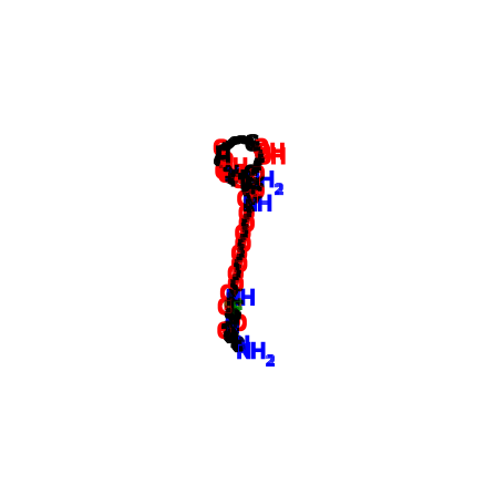 CO[C@H]1C[C@@H]2CCC[C@@](O)(O2)C(=O)C(=O)N2CCCC[C@H]2C(=O)O[C@H]([C@H](N)C[C@@H]2CC[C@@H](OC(=O)NCCOCCOCCOCCOCCOCCOCCOCCOCCC(=O)NCC[S+]([O-])c3ccc(C(=O)N4CCOc5ccc(-c6ccc(N)nc6)cc5C4)c(C)c3F)[C@H](OC)C2)CC(=O)[C@H](C)/C=C(\C)[C@@H](O)[C@@H](O)C(=O)[C@H](C)C[C@H](C)/C=C/C=C/C=C/1C